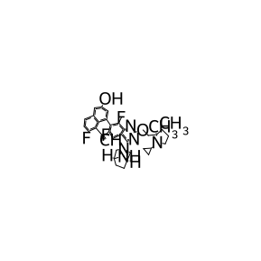 C#Cc1c(F)ccc2cc(O)cc(-c3c(F)cc4c(N5C[C@H]6CC[C@@H](C5)N6)nc(OC[C@@]5(C)[C@@H](C)CCN5C5CC5)nc4c3F)c12